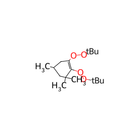 CC1CC(OOC(C)(C)C)=C(OOC(C)(C)C)C(C)(C)C1